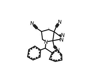 N#CC1[CH]C(C#N)(C#N)C(C#N)(C#N)N(C(c2ccccc2)c2ccccc2)C1